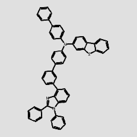 c1ccc(-c2ccc(N(c3ccc(-c4cccc(-c5cccc6c5nc(-c5ccccc5)n6-c5ccccc5)c4)cc3)c3ccc4c(c3)sc3ccccc34)cc2)cc1